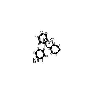 O=S(=O)(O)c1ccccc1P(c1ccccc1)c1ccccc1.[NaH]